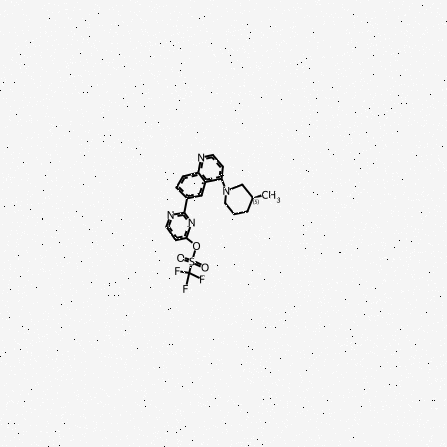 C[C@H]1CCCN(c2ccnc3ccc(-c4nccc(OS(=O)(=O)C(F)(F)F)n4)cc23)C1